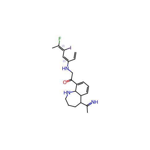 C=C/C(=C\C(I)=C(/C)F)NCC(=O)C1=CC=CC2C(C(C)=N)CCCNC12